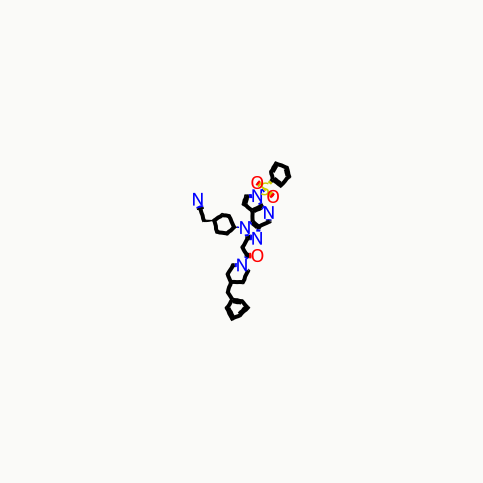 N#CC[C@H]1CC[C@H](n2c(CC(=O)N3CCC(Cc4ccccc4)CC3)nc3cnc4c(ccn4S(=O)(=O)c4ccccc4)c32)CC1